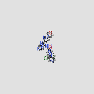 O=C(CNc1c(-c2ccc(N3CCOCC3)nc2)nc2cnccn12)N1CCN(c2c(Cl)cncc2Cl)CC1